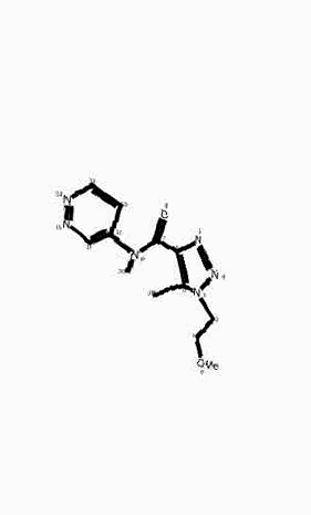 COCCn1nnc(C(=O)N(C)c2ccnnc2)c1C